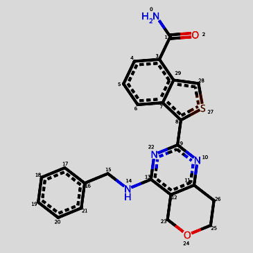 NC(=O)c1cccc2c(-c3nc4c(c(NCc5ccccc5)n3)COCC4)scc12